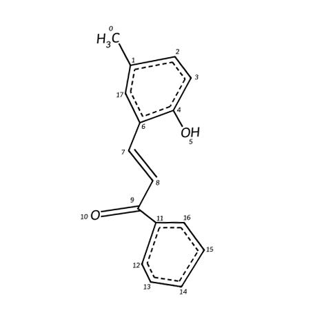 Cc1ccc(O)c(/C=C/C(=O)c2ccccc2)c1